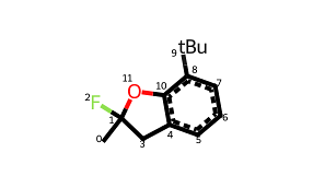 CC1(F)Cc2cccc(C(C)(C)C)c2O1